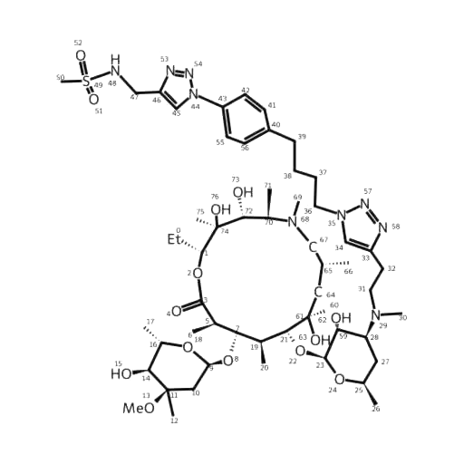 CC[C@H]1OC(=O)[C@H](C)[C@@H](O[C@H]2C[C@@](C)(OC)[C@@H](O)[C@H](C)O2)[C@H](C)[C@@H](O[C@@H]2O[C@H](C)C[C@H](N(C)CCc3cn(CCCCc4ccc(-n5cc(CNS(C)(=O)=O)nn5)cc4)nn3)[C@H]2O)[C@](C)(O)C[C@@H](C)CN(C)[C@H](C)[C@@H](O)[C@]1(C)O